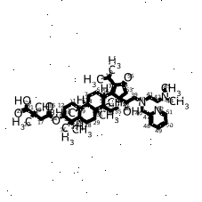 CC(C)C1=C2[C@H]3CC[C@@H]4[C@@]5(C)CC[C@H](OC(=O)CC(C)(C)C(=O)O)C(C)(C)[C@@H]5CC[C@@]4(C)[C@]3(C)CC[C@@]2([C@@H](O)CN(CCN(C)C)Cc2ccccn2)CC1=O